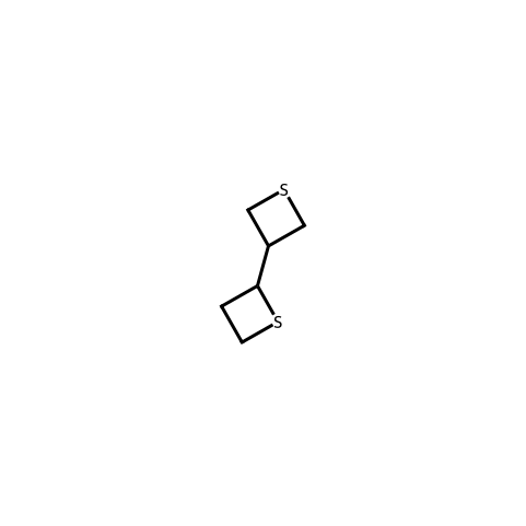 C1CC(C2CSC2)S1